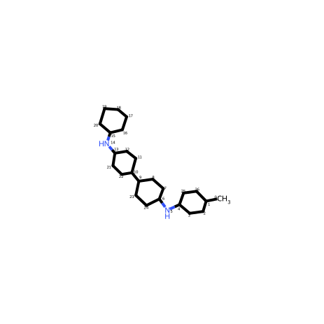 CC1CCC(NC2CCC(C3CCC(NC4CCCCC4)CC3)CC2)CC1